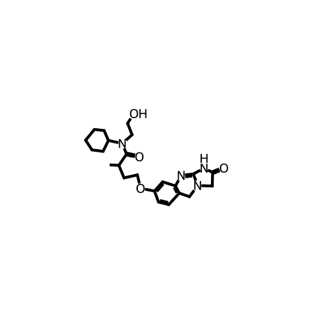 CC(CCOc1ccc2c(c1)N=C1NC(=O)CN1C2)C(=O)N(CCO)C1CCCCC1